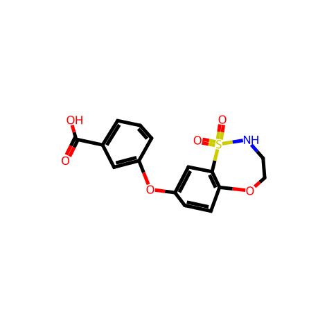 O=C(O)c1cccc(Oc2ccc3c(c2)S(=O)(=O)NCCO3)c1